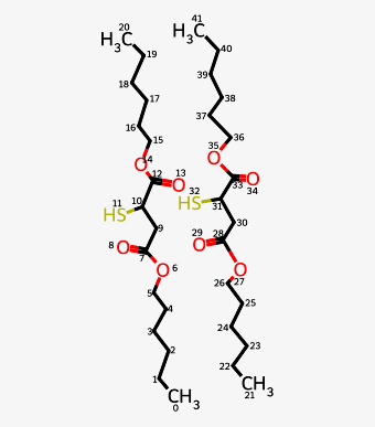 CCCCCCOC(=O)CC(S)C(=O)OCCCCCC.CCCCCCOC(=O)CC(S)C(=O)OCCCCCC